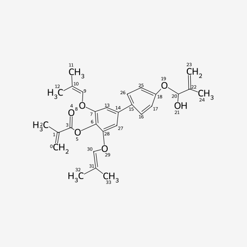 C=C(C)C(=O)Oc1c(OC=C(C)C)cc(-c2ccc(OC(O)C(=C)C)cc2)cc1OC=C(C)C